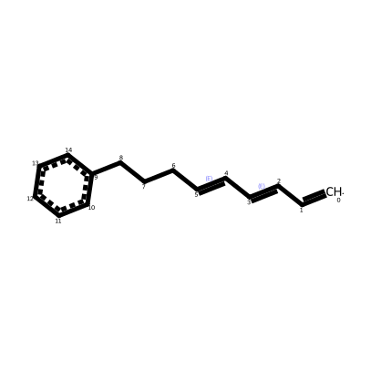 [CH]=C/C=C/C=C/CCCc1ccccc1